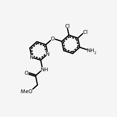 COCC(=O)Nc1nccc(Oc2ccc(N)c(Cl)c2Cl)n1